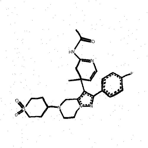 CC(=O)NC1=NC=CC(C)(c2c(-c3ccc(F)cc3)nn3c2CN(C2CCS(=O)(=O)CC2)CC3)C1